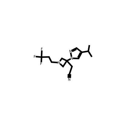 CC(C)c1cnn(C2(CC#N)CN(CCC(F)(F)F)C2)c1